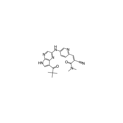 CN(C)C(=O)C(C#N)=Cc1ccc(Nc2cnc3[nH]cc(C(=O)C(C)(C)C)c3n2)cn1